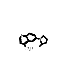 CC1CCCN1c1ccc2nccc(C(=O)O)c2c1